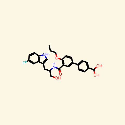 CCCOc1ccc(-c2ccc(C(O)O)cc2)cc1C(=O)NC(CO)Cc1c[nH]c2ccc(F)cc12